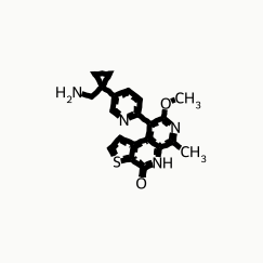 COc1nc(C)c2[nH]c(=O)c3sccc3c2c1-c1ccc(C2(CN)CC2)cn1